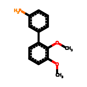 COc1cccc(-c2cccc(P)c2)c1OC